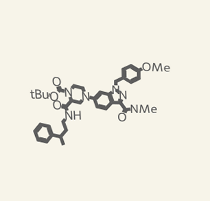 CNC(=O)c1nn(Cc2ccc(OC)cc2)c2cc(N3CCN(C(=O)OC(C)(C)C)C(C(=O)NCCC(C)c4ccccc4)C3)ccc12